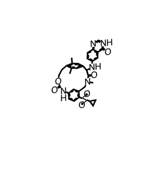 Cc1cc2cc(C)c1CCOC(=O)Nc1ccc(S(=O)(=O)C3CC3)c(c1)CN(C)C(=O)C2Nc1ccc2nc[nH]c(=O)c2c1